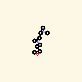 c1ccc(-n2c3ccccc3c3ccc(-c4ccc5c(c4)c4ccccc4n5-c4cccc5c(-c6cccc7oc8ccccc8c67)cccc45)cc32)cc1